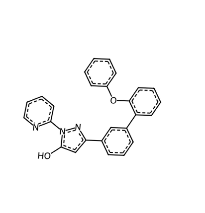 Oc1cc(-c2cccc(-c3ccccc3Oc3ccccc3)c2)nn1-c1ccccn1